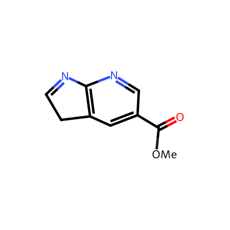 COC(=O)c1cnc2c(c1)CC=N2